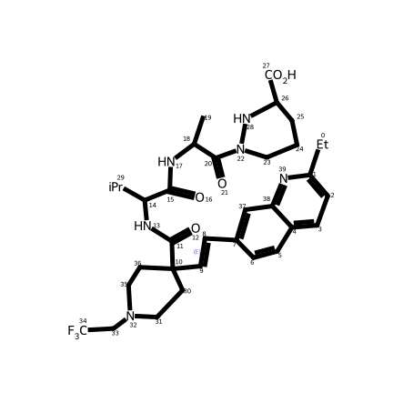 CCc1ccc2ccc(/C=C/C3(C(=O)NC(C(=O)NC(C)C(=O)N4CCCC(C(=O)O)N4)C(C)C)CCN(CC(F)(F)F)CC3)cc2n1